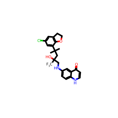 CC(C)(CC(O)(CNc1ccc2[nH]ccc(=O)c2c1)C(F)(F)F)c1cc(Cl)cc2c1OCC2